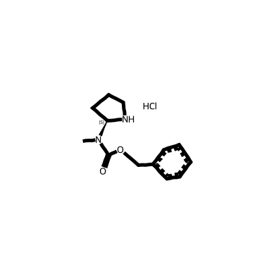 CN(C(=O)OCc1ccccc1)[C@H]1CCCN1.Cl